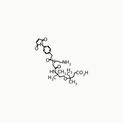 CC(C)(CCOC(C)(C)CCC(=O)O)NC(=O)CN(CCN)C(=O)Cc1ccc(N2C(=O)C=CC2=O)cc1